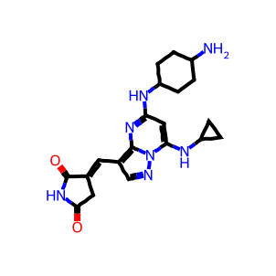 NC1CCC(Nc2cc(NC3CC3)n3ncc(C=C4CC(=O)NC4=O)c3n2)CC1